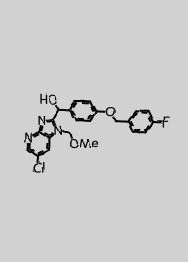 COCn1c(C(O)c2ccc(OCc3ccc(F)cc3)cc2)nc2ncc(Cl)cc21